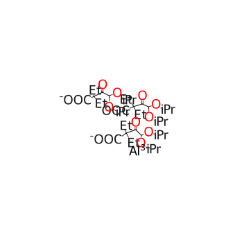 CCC(CC)(C(=O)[O-])C(=O)C(OC(C)C)OC(C)C.CCC(CC)(C(=O)[O-])C(=O)C(OC(C)C)OC(C)C.CCC(CC)(C(=O)[O-])C(=O)C(OC(C)C)OC(C)C.[Al+3]